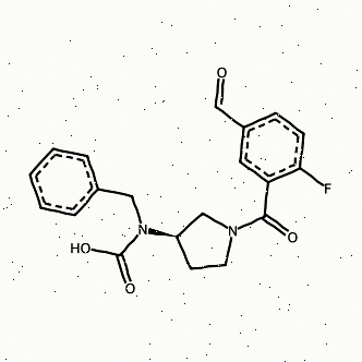 O=Cc1ccc(F)c(C(=O)N2CC[C@@H](N(Cc3ccccc3)C(=O)O)C2)c1